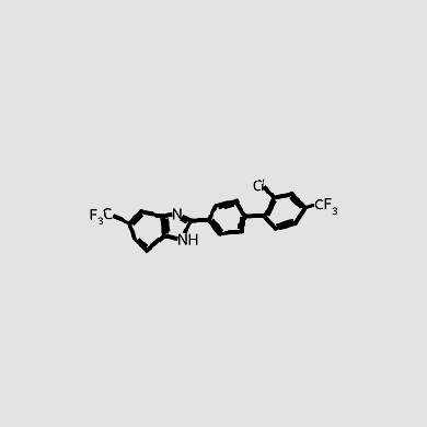 FC(F)(F)c1ccc(-c2ccc(-c3nc4cc(C(F)(F)F)ccc4[nH]3)cc2)c(Cl)c1